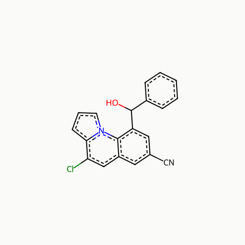 N#Cc1cc(C(O)c2ccccc2)c2c(c1)cc(Cl)c1cccn12